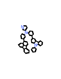 c1ccc(-n2c3ccccc3c3cc(-c4cccc(N(c5cccnc5)c5cccc(-c6ccc7c8c(cccc68)-c6ccccc6-7)c5)c4)ccc32)cc1